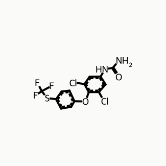 NC(=O)Nc1cc(Cl)c(Oc2ccc(SC(F)(F)F)cc2)c(Cl)c1